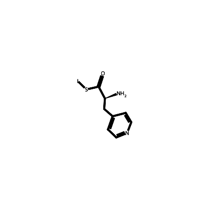 N[C@@H](Cc1ccncc1)C(=O)SI